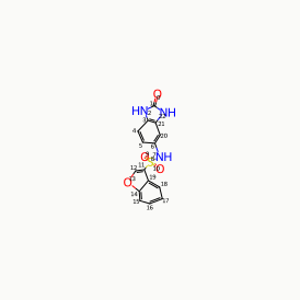 O=c1[nH]c2ccc(NS(=O)(=O)c3coc4ccccc34)cc2[nH]1